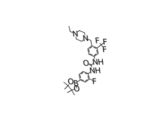 CCN1CCN(Cc2ccc(NC(=O)Nc3ccc(B4OC(C)(C)C(C)(C)O4)cc3F)cc2C(F)(F)F)CC1